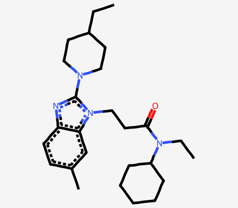 CCC1CCN(c2nc3ccc(C)cc3n2CCC(=O)N(CC)C2CCCCC2)CC1